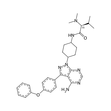 CC(C)[C@@H](C(=O)NC1CCC(n2nc(-c3ccc(Oc4ccccc4)cc3)c3c(N)ncnc32)CC1)N(C)C